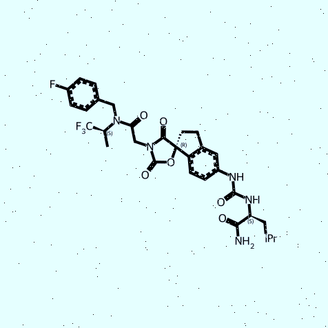 CC(C)C[C@H](NC(=O)Nc1ccc2c(c1)CC[C@@]21OC(=O)N(CC(=O)N(Cc2ccc(F)cc2)[C@@H](C)C(F)(F)F)C1=O)C(N)=O